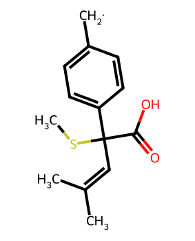 [CH2]c1ccc(C(C=C(C)C)(SC)C(=O)O)cc1